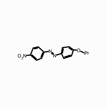 CC(C)Oc1ccc(N=Nc2ccc([N+](=O)[O-])cc2)cc1